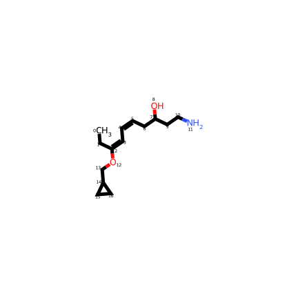 CC/C(=C\C=C/CC(O)CCN)OCC1CC1